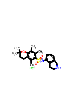 Cc1c(C)c(S(=O)(=O)Nc2cccc3c2CCNC3)c(C)c2c1OC(C)(C)CC2.Cl